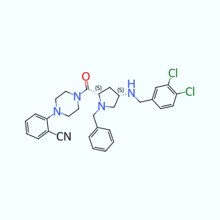 N#Cc1ccccc1N1CCN(C(=O)[C@@H]2C[C@H](NCc3ccc(Cl)c(Cl)c3)CN2Cc2ccccc2)CC1